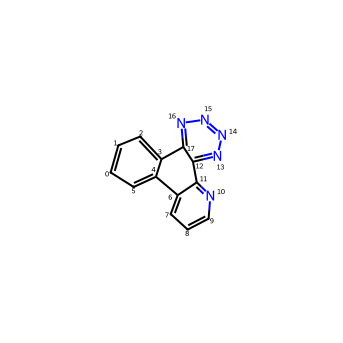 c1ccc2c(c1)c1cccnc1c1nnnnc21